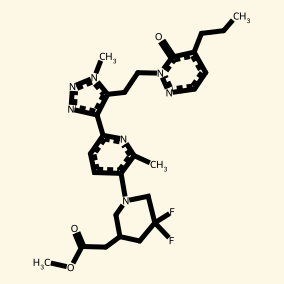 CCCc1ccnn(CCc2c(-c3ccc(N4CC(CC(=O)OC)CC(F)(F)C4)c(C)n3)nnn2C)c1=O